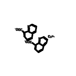 O=C([O-])c1cccc2cccnc12.O=C([O-])c1cccc2cccnc12.[Cu+2]